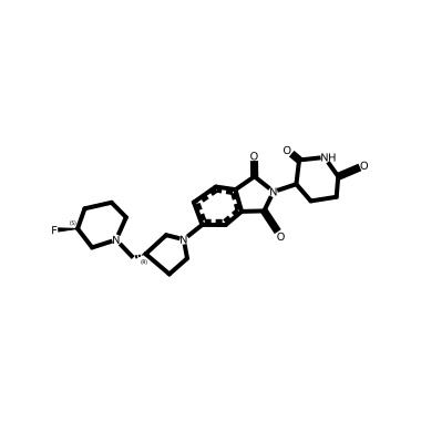 O=C1CCC(N2C(=O)c3ccc(N4CC[C@H](CN5CCC[C@H](F)C5)C4)cc3C2=O)C(=O)N1